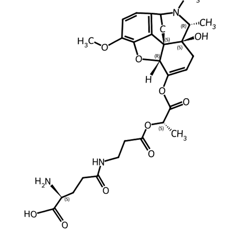 COc1ccc2c3c1O[C@H]1C(OC(=O)[C@H](C)OC(=O)CCNC(=O)CC[C@H](N)C(=O)O)=CC[C@@]4(O)[C@@H](C)N(C)C2C[C@]314